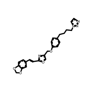 C(=Cc1nc(COc2ccc(CCCCn3ccnn3)cc2)co1)c1ccc2c(c1)OCO2